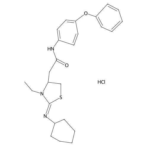 CCN1C(=NC2CCCCC2)SCC1CC(=O)Nc1ccc(Oc2ccccc2)cc1.Cl